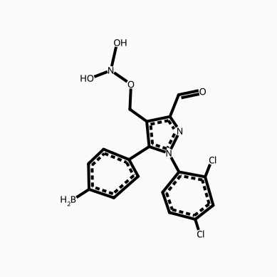 Bc1ccc(-c2c(CON(O)O)c(C=O)nn2-c2ccc(Cl)cc2Cl)cc1